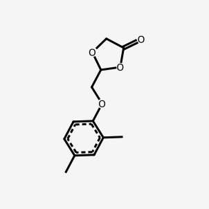 Cc1ccc(OCC2OCC(=O)O2)c(C)c1